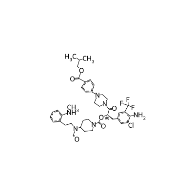 CNc1ccccc1CCN(C=O)C1CCN(C(=O)O[C@H](Cc2cc(Cl)c(N)c(C(F)(F)F)c2)C(=O)N2CCN(c3ccc(C(=O)OCC(C)C)cc3)CC2)CC1